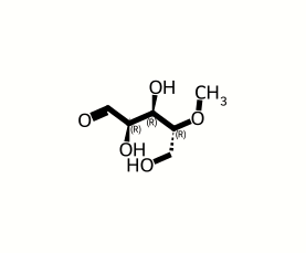 CO[C@H](CO)[C@H](O)[C@@H](O)C=O